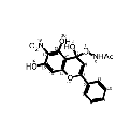 CC(=O)NOC1(O)C=C(c2ccccc2)Oc2cc(O)c([N+](=O)[O-])c(O)c21